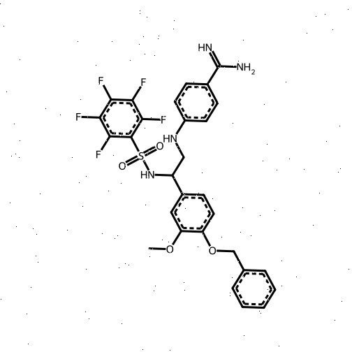 COc1cc(C(CNc2ccc(C(=N)N)cc2)NS(=O)(=O)c2c(F)c(F)c(F)c(F)c2F)ccc1OCc1ccccc1